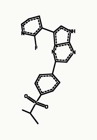 CC(C)S(=O)(=O)c1ccc(-c2cnc3[nH]cc(-c4cccnc4F)c3n2)cc1